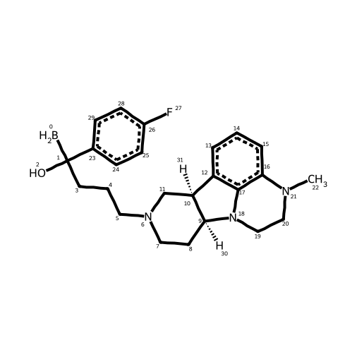 BC(O)(CCCN1CC[C@H]2[C@@H](C1)c1cccc3c1N2CCN3C)c1ccc(F)cc1